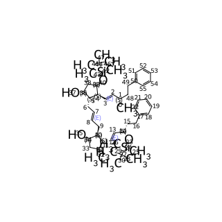 C[C@H](/C=C/[C@H]1[C@H](C/C=C/C[C@H]2[C@H](/C=C/[C@H](CCc3ccccc3)O[Si](C)(C)C(C)(C)C)[C@@H](C)C[C@H]2O)[C@H](O)C[C@@H]1O[Si](C)(C)C(C)(C)C)CCc1ccccc1